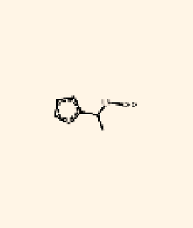 CC(N[C]=O)c1cccs1